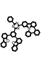 c1ccc(-c2nc(-c3cc(-c4cccc5c4oc4ccccc45)cc(-c4cccc5c4oc4ccccc45)c3)nc(-c3ccc4c5cccc6c5n(c4c3)-c3ccccc3-c3ccccc3-6)n2)cc1